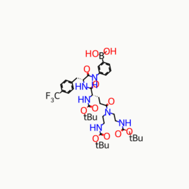 CC(C)(C)OC(=O)NCCN(CCNC(=O)OC(C)(C)C)C(=O)CC[C@H](NC(=O)OC(C)(C)C)C(=O)N[C@H](Cc1ccc(C(F)(F)F)cc1)C(=O)Nc1cccc(B(O)O)c1